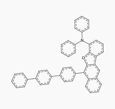 c1ccc(-c2ccc(-c3ccc(-c4c5ccccc5cc5c4oc4c(N(c6ccccc6)c6ccccc6)cccc45)cc3)cc2)cc1